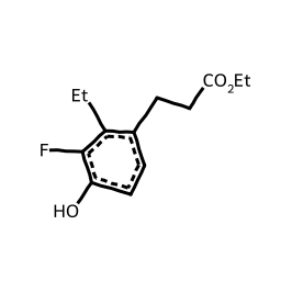 CCOC(=O)CCc1ccc(O)c(F)c1CC